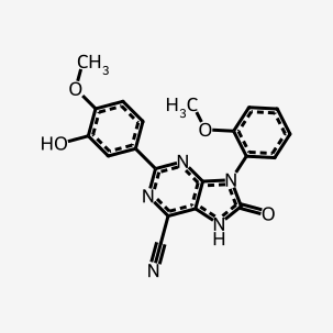 COc1ccc(-c2nc(C#N)c3[nH]c(=O)n(-c4ccccc4OC)c3n2)cc1O